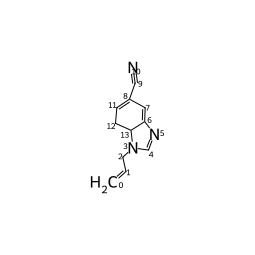 C=CCN1C=NC2=CC(C#N)=CCC21